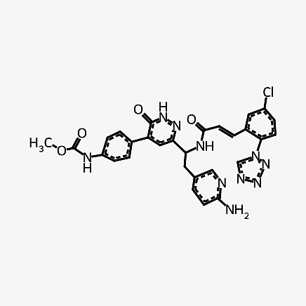 COC(=O)Nc1ccc(-c2cc(C(Cc3ccc(N)nc3)NC(=O)/C=C/c3cc(Cl)ccc3-n3cnnn3)n[nH]c2=O)cc1